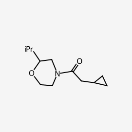 CC(C)C1CN(C(=O)CC2CC2)CCO1